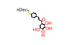 CCCCCCCCCCCSc1ccc(/C=C/C(=O)c2cc(O)c(O)c(O)c2O)cc1